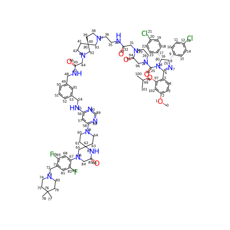 COc1ccc(C2=N[C@@H](c3ccc(Cl)cc3)[C@@H](c3ccc(Cl)cc3)N2C(=O)N2CCN(CC(=O)NCCN3CC[C@@]4(CCN(CC(=O)NCc5cccc(CNc6cc(N7CCC8(CC7)CN(c7cc(F)c(CN9CCC(C)(C)CC9)cc7F)CC(=O)N8)ncn6)c5)C4)C3)C(=O)C2)c(OC(C)C)c1